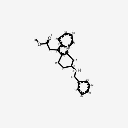 COC(=O)Cc1c2c(n3ccccc13)CC(NCc1ccccc1)CC2